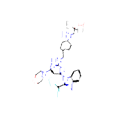 CCC(O)(CC)CNC1CCC(CNc2nc(N3CCOCC3)cc(-n3c(C(F)F)nc4ccccc43)n2)CC1